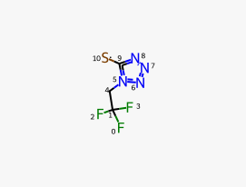 FC(F)(F)Cn1nnnc1[S]